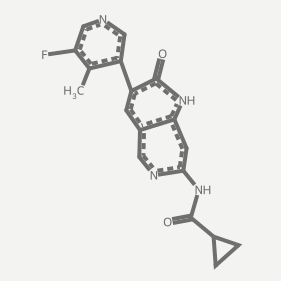 Cc1c(F)cncc1-c1cc2cnc(NC(=O)C3CC3)cc2[nH]c1=O